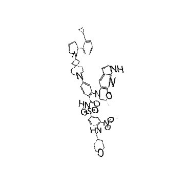 C[C@@H]1CN(c2cc(N3CCC4(CC3)CC(N3CCC[C@@H]3c3ccccc3C3CC3)C4)ccc2C(=O)NS(=O)(=O)c2ccc(NCC3CCOCC3)c([N+](=O)[O-])c2)c2cc3cc[nH]c3nc2O1